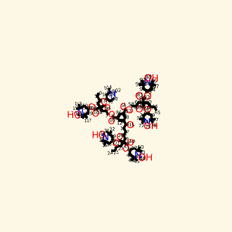 CCCCC(CCCOC(=O)c1cc(C(=O)CCCCC(CCCC)(C(=O)OC2CC(C)(C)N(O)C(C)(C)C2)C(=O)OC2CC(C)(C)N(O)C(C)(C)C2)cc(C(=O)OCCCC(CCCC)(C(=O)OC2CC(C)(C)N(O)C(C)(C)C2)C(=O)OC2CC(C)(C)N(O)C(C)(C)C2)c1)(C(=O)OC1CCN(C)C(C)C1)C(=O)OC1CC(C)(C)N(O)C(C)(C)C1